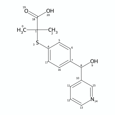 CC(C)(Sc1ccc(C(O)c2cccnc2)cc1)C(=O)O